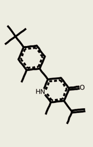 C=C(C)c1c(C)[nH]c(-c2ccc(C(C)(C)C)cc2C)cc1=O